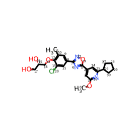 COc1cc(-c2nc(-c3cc(C)c(OC[C@@H](O)CO)c(Cl)c3)no2)cc(C2CCCC2)n1